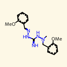 COc1ccccc1/C=N/NC(=N)NN(C)Cc1ccccc1OC